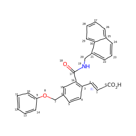 O=C(O)/C=C/c1ccc(COc2ccccc2)cc1C(=O)NCc1cccc2ccccc12